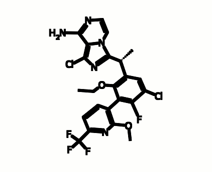 CCOc1c([C@@H](C)c2nc(Cl)c3c(N)nccn23)cc(Cl)c(F)c1-c1ccc(C(F)(F)F)nc1OC